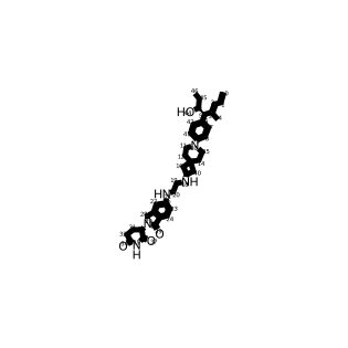 C=C/C=C(\C)[C@@H](c1ccc(N2CCC3(CC2)CC(NCCNc2ccc4c(c2)CN(C2CCC(=O)NC2=O)C4=O)C3)cc1)C(O)CC